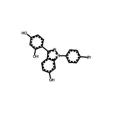 CC(C)c1ccc(-n2nc(-c3ccc(O)cc3O)c3ccc(O)cc32)cc1